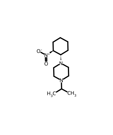 CC(C)N1CCN([C@H]2CCCC[C@@H]2[N+](=O)[O-])CC1